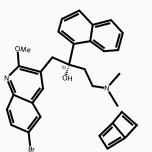 COc1nc2ccc(Br)cc2cc1C[C@](O)(CCN(C)C)c1cccc2ccccc12.c1cc2ccc1-2